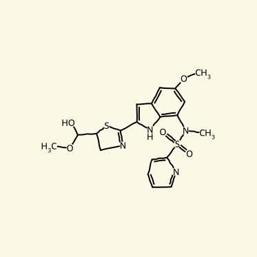 COc1cc(N(C)S(=O)(=O)c2ccccn2)c2[nH]c(C3=NCC(C(O)OC)S3)cc2c1